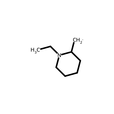 [CH2]C1CCCCN1CC